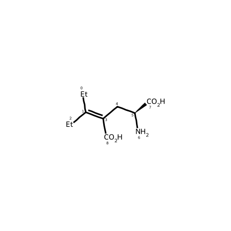 CCC(CC)=C(C[C@H](N)C(=O)O)C(=O)O